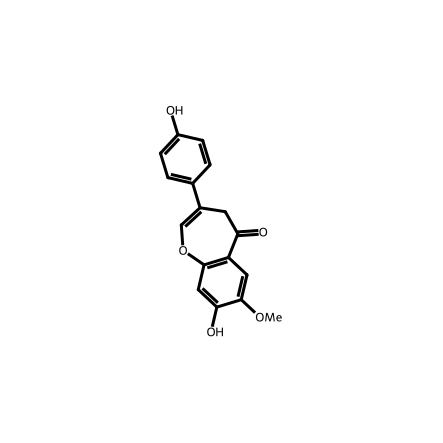 COc1cc2c(cc1O)OC=C(c1ccc(O)cc1)CC2=O